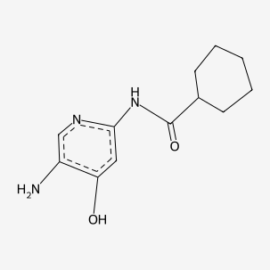 Nc1cnc(NC(=O)C2CCCCC2)cc1O